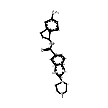 COc1ccc2c(c1)CCC2NC(=O)c1ccc2nc(N3CCNCC3)sc2c1